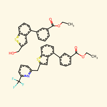 CCOC(=O)c1cccc(-c2cccc3sc(CO)cc23)c1.CCOC(=O)c1cccc(-c2cccc3sc(Cc4cccc(C(F)(F)F)n4)cc23)c1